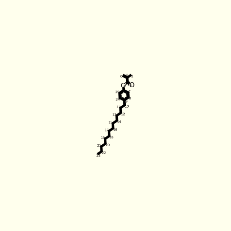 C=C(C)C(=O)Oc1ccc(CCCCCCCCCCCCCC)cc1